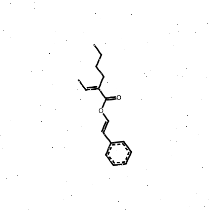 CC=C(CCCC)C(=O)OC=Cc1ccccc1